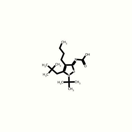 CCCCc1c(CC(C)(C)C)n(C(C)(C)C)sc1=NC(=O)O